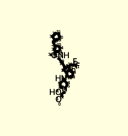 COCC(O)CN1CCC(Nc2cccc3c2cc(C#CCNc2ccc(Sc4ccccc4)cc2OC)n3CC(F)(F)F)CC1